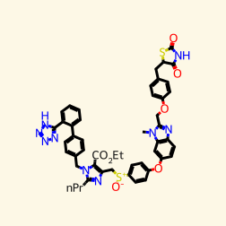 CCCc1nc(C[S+]([O-])c2ccc(Oc3ccc4nc(COc5ccc(CC6SC(=O)NC6=O)cc5)n(C)c4c3)cc2)c(C(=O)OCC)n1Cc1ccc(-c2ccccc2-c2nnn[nH]2)cc1